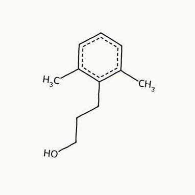 Cc1cccc(C)c1CCCO